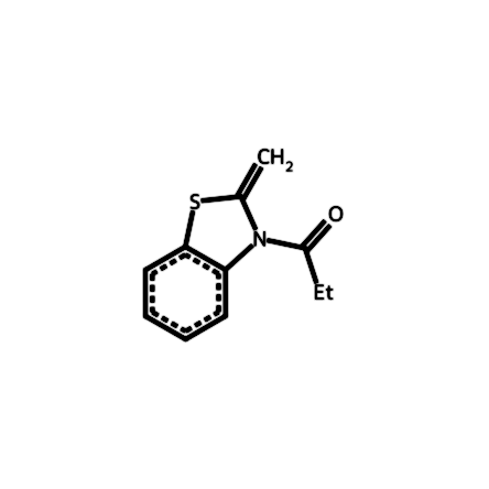 C=C1Sc2ccccc2N1C(=O)CC